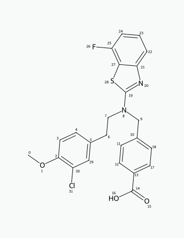 COc1ccc(CCN(Cc2ccc(C(=O)O)cc2)c2nc3cccc(F)c3s2)cc1Cl